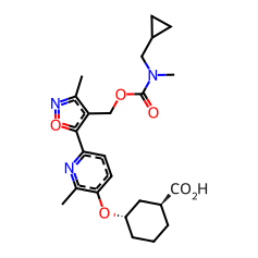 Cc1nc(-c2onc(C)c2COC(=O)N(C)CC2CC2)ccc1O[C@H]1CCC[C@H](C(=O)O)C1